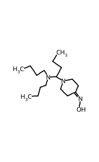 CCCCN(CCCC)C(CCC)N1CCC(=NO)CC1